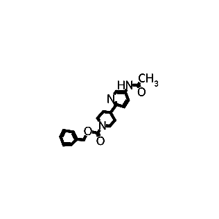 CC(=O)Nc1ccc(C2CCN(C(=O)OCc3ccccc3)CC2)nc1